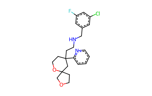 Fc1cc(Cl)cc(CNCCC2(c3ccccn3)CCOC3(CCOC3)C2)c1